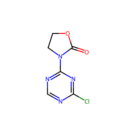 O=C1OCCN1c1ncnc(Cl)n1